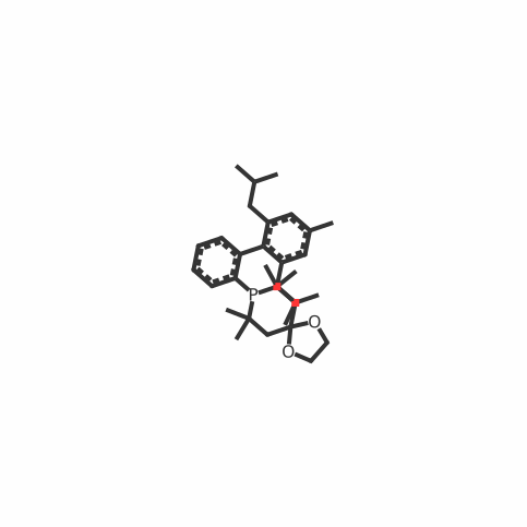 Cc1cc(CC(C)C)c(-c2ccccc2P2C(C)(C)CC3(CC2(C)C)OCCO3)c(CC(C)C)c1